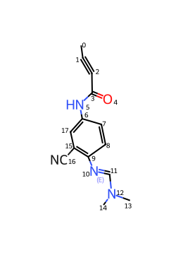 CC#CC(=O)Nc1ccc(/N=C/N(C)C)c(C#N)c1